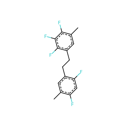 Cc1cc(CCc2cc(C)c(F)c(F)c2F)c(F)cc1F